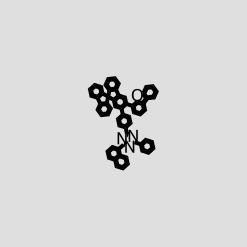 c1ccc(-c2nc(-c3ccc(-c4cc5c(cc4-c4cccc6c4oc4ccccc46)-c4ccccc4C54c5ccccc5-c5ccccc54)cc3)nc(-c3cccc4ccccc34)n2)cc1